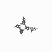 Cc1ccc2c(c1)C1=NC/2=N\C2NC(=C3C=CC(CC(C)C)=CC32)/N=C2N=C(/N=c3\[nH]/c(c4ccc(C)cc34)=N\1)c1ccc(SOON(CC(C)C)CC(C)C)cc1\2